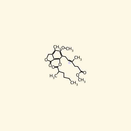 CCCCC(C)C(=O)Oc1c(C/C=C(\C)CCC(=O)OC)c(OC)c(C)c2c1C(=O)OC2